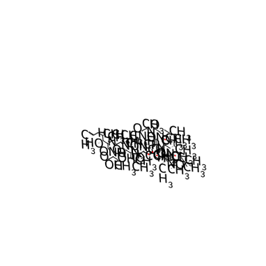 C/C=C/C[C@@H](C)[C@@H](O)[C@@H](C(=O)N[C@H](C(=O)O)C(C)O)N(C)C(=O)[C@H](C(C)C)N(C)C(=O)[C@H](CC(C)C)NC(=O)[C@H](CC(C)C)N(C)C(=O)[C@@H](C)NC(=O)[C@H](C)NC(=O)[C@H](CC(C)C)N(C)C(=O)[C@H](CC(C)C)NC(=O)[C@H](C(C)CC)N(C)C(=O)[C@@H](CC)N(C)C(=O)OC(C)(C)C